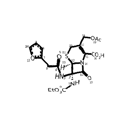 CCOC(=O)N[C@@]1(NC(=O)Cc2ccco2)C(=O)N2C(C(=O)O)=C(COC(C)=O)CS[C@@H]21